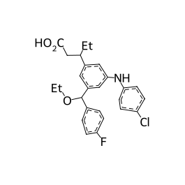 CCOC(c1ccc(F)cc1)c1cc(Nc2ccc(Cl)cc2)cc(C(CC)CC(=O)O)c1